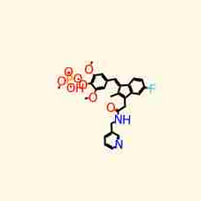 COc1cc(C=C2C(C)=C(CC(=O)NCc3cccnc3)c3cc(F)ccc32)cc(OC)c1OOP(=O)(O)OC